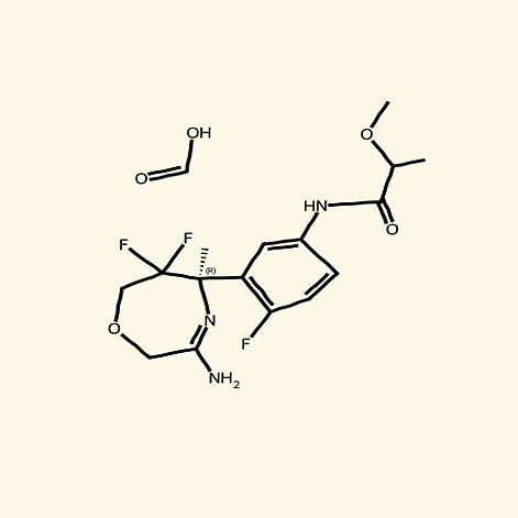 COC(C)C(=O)Nc1ccc(F)c([C@@]2(C)N=C(N)COCC2(F)F)c1.O=CO